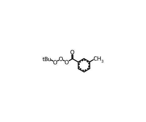 Cc1cccc(C(=O)OOOC(C)(C)C)c1